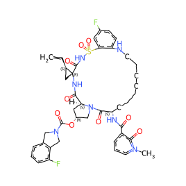 C=C[C@@H]1C[C@@]12NC(=O)[C@@H]1C[C@@H](OC(=O)N3Cc4cccc(F)c4C3)CN1C(=O)[C@@H](NC(=O)c1cccn(C)c1=O)CCCCCCCNc1ccc(F)cc1S(=O)(=O)NC2=O